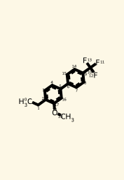 CCc1ccc(-c2ccc(C(F)(F)F)cc2)cc1OC